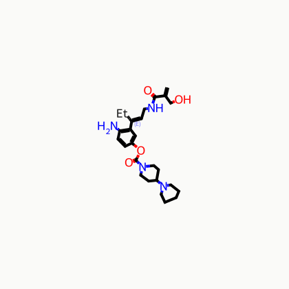 C=C(CO)C(=O)NC/C=C(\CC)c1cc(OC(=O)N2CCC(N3CCCCC3)CC2)ccc1N